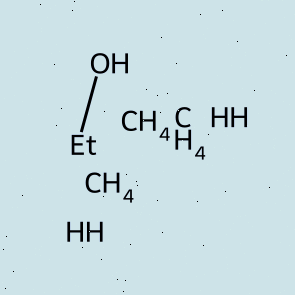 C.C.C.CCO.[HH].[HH]